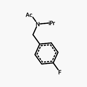 CC(=O)N(Cc1ccc(F)cc1)C(C)C